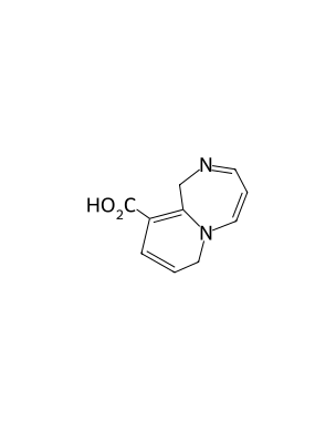 O=C(O)C1=C2CN=CC=CN2CC=C1